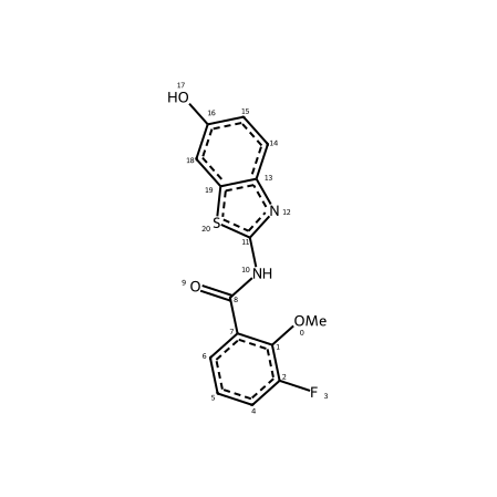 COc1c(F)cccc1C(=O)Nc1nc2ccc(O)cc2s1